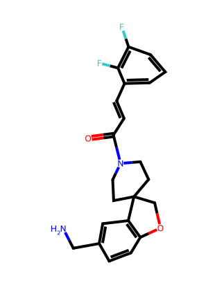 NCc1ccc2c(c1)C1(CCN(C(=O)/C=C/c3cccc(F)c3F)CC1)CO2